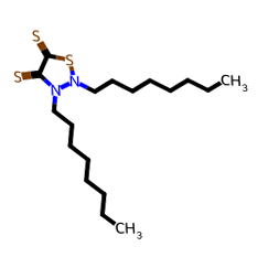 CCCCCCCCn1sc(=S)c(=S)n1CCCCCCCC